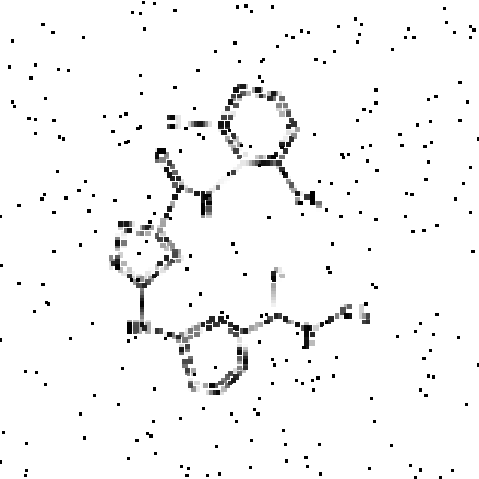 CNC(=O)c1cccc(Nc2ncc(C(=O)Nc3c(C)cccc3Cl)s2)c1